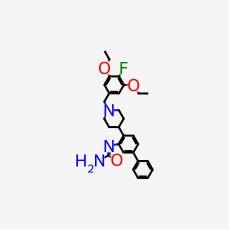 CCOc1cc(CN2CCC(c3ccc(-c4ccccc4)c4oc(N)nc34)CC2)cc(OCC)c1F